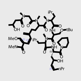 C=C(/C=C\C(=C\OC)C(=O)NC)CCC(C(=O)N(C)C(CC(C)C)C(=O)NC(COC(C)(C)C)C(=O)N(C)C(CC(C)C)C(=O)N[C@@H](CC(O)/C=C\CCC)C(=O)N1CCCCC1)N(C)C(=O)CN(C)C(=O)CC(C)O